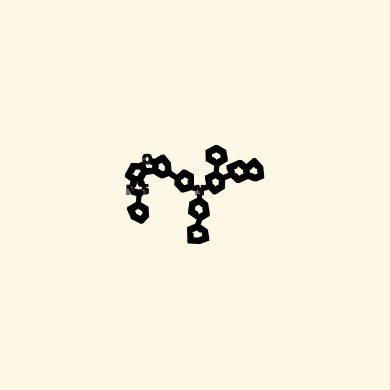 c1ccc(-c2ccc(N(c3ccc(-c4ccc5oc6ccc7nc(-c8ccccc8)sc7c6c5c4)cc3)c3ccc(-c4ccc5ccccc5c4)c(-c4ccccc4)c3)cc2)cc1